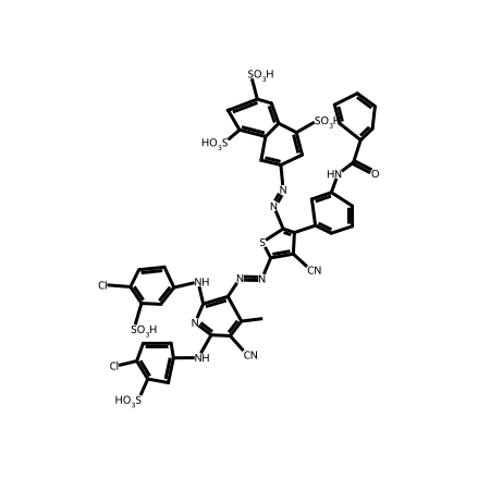 Cc1c(C#N)c(Nc2ccc(Cl)c(S(=O)(=O)O)c2)nc(Nc2ccc(Cl)c(S(=O)(=O)O)c2)c1N=Nc1sc(N=Nc2cc(S(=O)(=O)O)c3cc(S(=O)(=O)O)cc(S(=O)(=O)O)c3c2)c(-c2cccc(NC(=O)c3ccccc3)c2)c1C#N